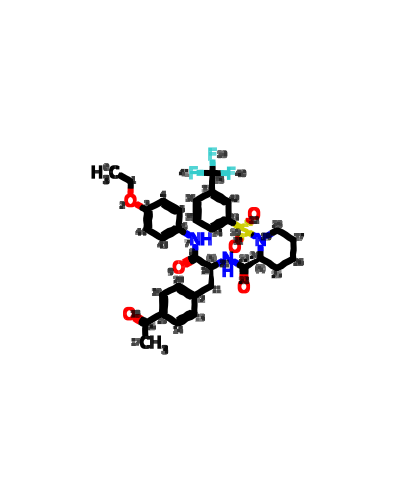 CCOc1ccc(NC(=O)[C@H](Cc2ccc(C(C)=O)cc2)NC(=O)[C@@H]2CCCCN2S(=O)(=O)c2cccc(C(F)(F)F)c2)cc1